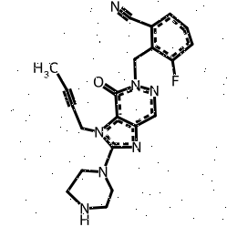 CC#CCn1c(N2CCNCC2)nc2cnn(Cc3c(F)cccc3C#N)c(=O)c21